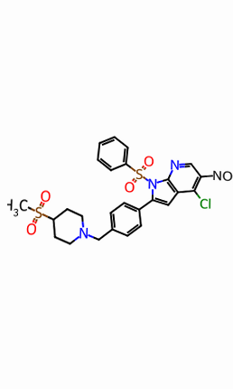 CS(=O)(=O)C1CCN(Cc2ccc(-c3cc4c(Cl)c([N+](=O)[O-])cnc4n3S(=O)(=O)c3ccccc3)cc2)CC1